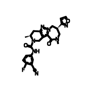 C[C@@H]1Cc2nn3c(c2CN1C(=O)Nc1ccc(F)c(C#N)c1)C(=O)N(C)C[C@@H](c1ccon1)C3